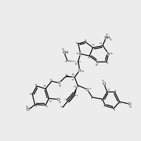 CC#C[C@H](OCc1ccc(Cl)cc1Cl)[C@@H](COCc1ccc(Cl)cc1Cl)O[C@H](CO)n1ccc2c(N)ncnc21